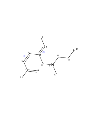 C=C(C)/C=C\C(=C/C)CN(C)CCF